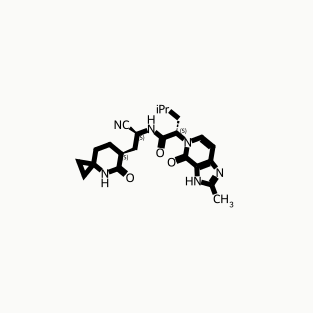 Cc1nc2ccn([C@@H](CC(C)C)C(=O)N[C@H](C#N)C[C@@H]3CCC4(CC4)NC3=O)c(=O)c2[nH]1